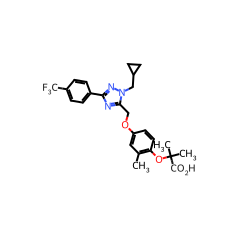 Cc1cc(OCc2nc(-c3ccc(C(F)(F)F)cc3)nn2CC2CC2)ccc1OC(C)(C)C(=O)O